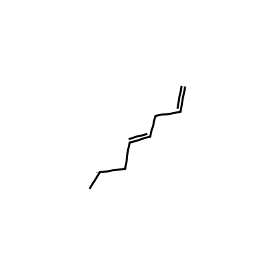 C=CC/C=C/C[CH]C